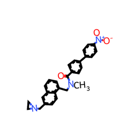 CN(Cc1cccc2cc(CN3CC3)ccc12)C(=O)c1ccc(-c2ccc([N+](=O)[O-])cc2)cc1